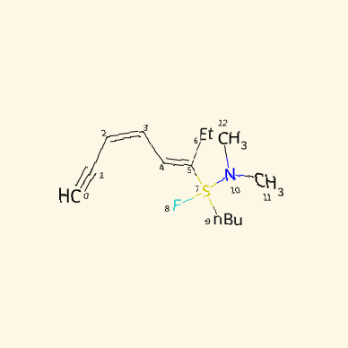 C#C/C=C\C=C(/CC)S(F)(CCCC)N(C)C